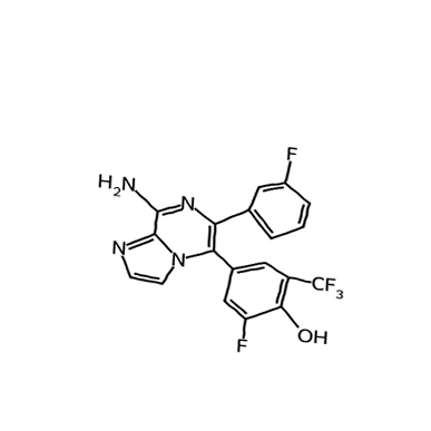 Nc1nc(-c2cccc(F)c2)c(-c2cc(F)c(O)c(C(F)(F)F)c2)n2ccnc12